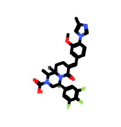 COc1cc(C=C2CC[C@H]3C(C)N(C(=O)O)C[C@H](c4cc(F)c(F)c(F)c4)N3C2=O)ccc1-n1cnc(C)c1